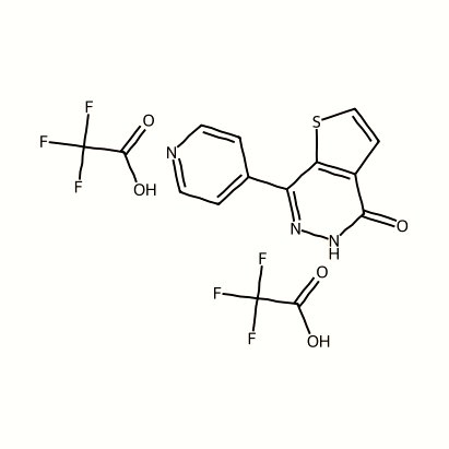 O=C(O)C(F)(F)F.O=C(O)C(F)(F)F.O=c1[nH]nc(-c2ccncc2)c2sccc12